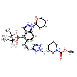 CC(C)(C)OC(=O)N1CCC[C@@H](Cn2ncc(/C=C\c3c(Cl)cc4c(cnn4C4CCCCO4)c3B3OC(C)(C)C(C)(C)O3)n2)C1